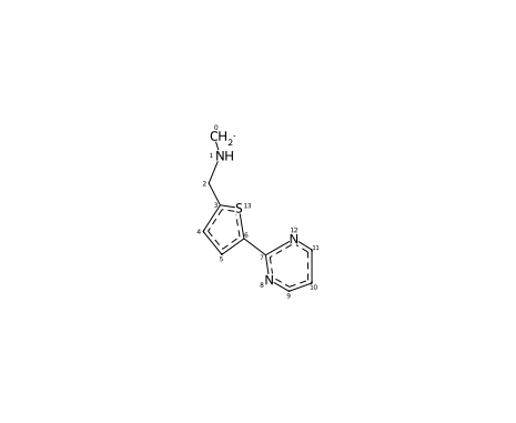 [CH2]NCc1ccc(-c2ncccn2)s1